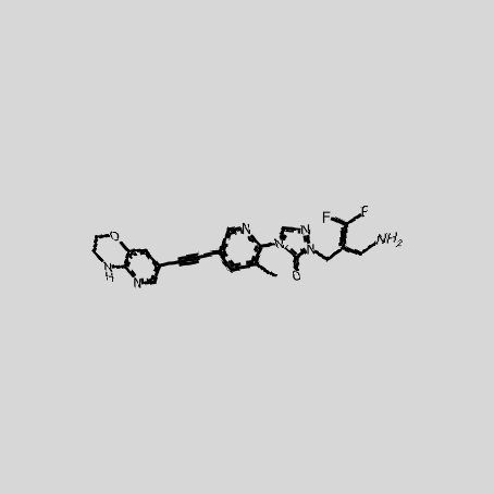 Cc1cc(C#Cc2cnc3c(c2)OCCN3)cnc1-n1cnn(CC(CN)=C(F)F)c1=O